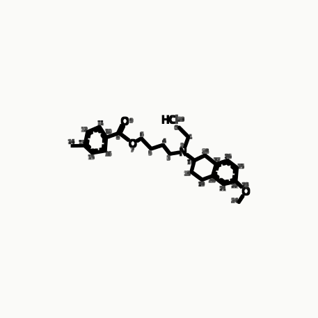 CCN(CCCCOC(=O)c1ccc(C)cc1)C1CCc2cc(OC)ccc2C1.Cl